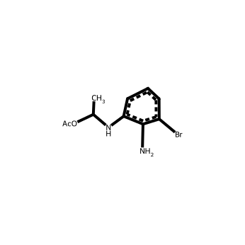 CC(=O)OC(C)Nc1cccc(Br)c1N